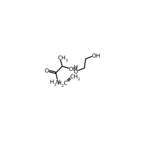 C=C.CC(O)C(N)=O.OCCO